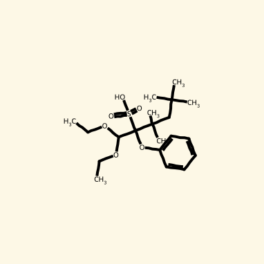 CCOC(OCC)C(Oc1ccccc1)(C(C)(C)CC(C)(C)C)S(=O)(=O)O